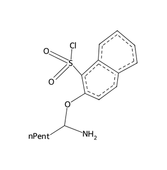 CCCCCC(N)Oc1ccc2ccccc2c1S(=O)(=O)Cl